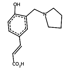 O=C(O)/C=C/c1ccc(O)c(CN2CCCC2)c1